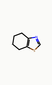 [C]1CCc2ncsc2C1